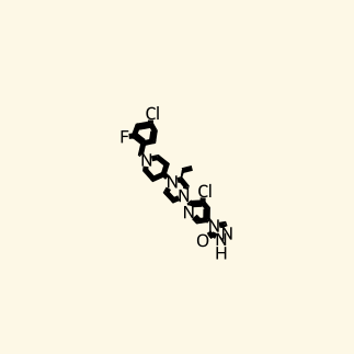 CC[C@H]1CN(c2ncc(-n3cn[nH]c3=O)cc2Cl)CCN1C1CCN(Cc2ccc(Cl)cc2F)CC1